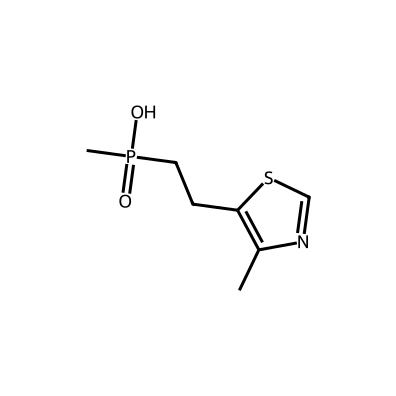 Cc1ncsc1CCP(C)(=O)O